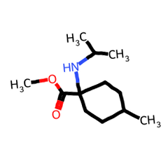 COC(=O)C1(NC(C)C)CCC(C)CC1